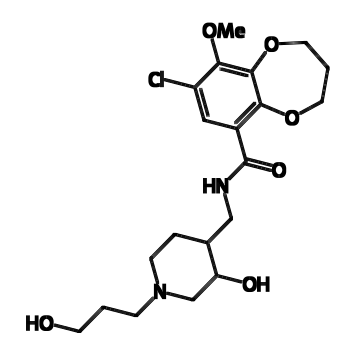 COc1c(Cl)cc(C(=O)NCC2CCN(CCCO)CC2O)c2c1OCCCO2